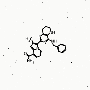 Cc1cc2c(C(N)=O)cccn2c1-c1nc2c(c(NCc3ccccc3)n1)NCCC2